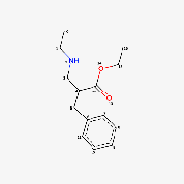 CCNCC(Cc1ccccc1)C(=O)OCC